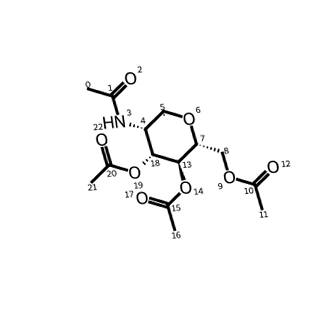 CC(=O)N[C@@H]1[CH]O[C@H](COC(C)=O)[C@@H](OC(C)=O)[C@@H]1OC(C)=O